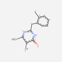 CSc1nc(Cc2ccccc2C)[nH]c(=O)c1C#N